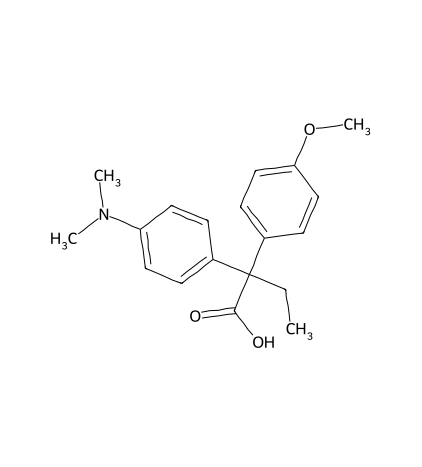 CCC(C(=O)O)(c1ccc(OC)cc1)c1ccc(N(C)C)cc1